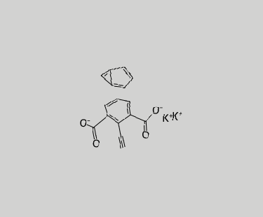 C#Cc1c(C(=O)[O-])cccc1C(=O)[O-].[K+].[K+].c1cc2cc-2c1